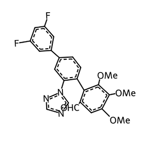 COc1cc(C=O)c(-c2ccc(-c3cc(F)cc(F)c3)cc2-n2cncn2)c(OC)c1OC